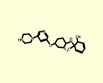 N#CC1C=CC=CC1(NC1CCC(Oc2cncc(N3CCNCC3)c2)CC1)C(F)(F)F